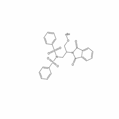 CCCCOCC(CN(S(=O)(=O)c1ccccc1)S(=O)(=O)c1ccccc1)N1C(=O)c2ccccc2C1=O